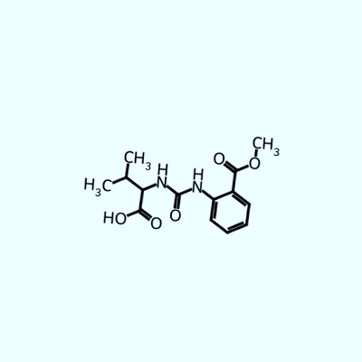 COC(=O)c1ccccc1NC(=O)NC(C(=O)O)C(C)C